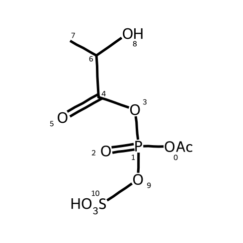 CC(=O)OP(=O)(OC(=O)C(C)O)OS(=O)(=O)O